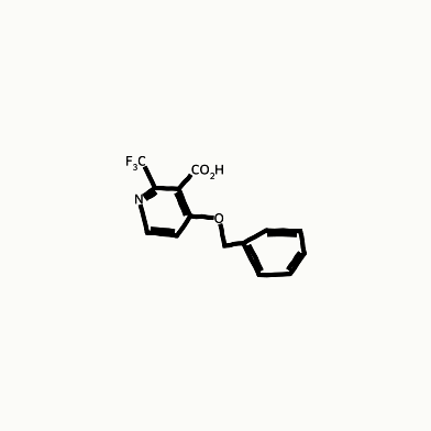 O=C(O)c1c(OCc2ccccc2)ccnc1C(F)(F)F